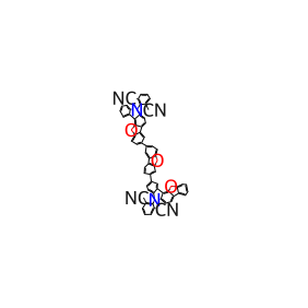 N#Cc1cccc(C#N)c1-n1c2ccccc2c2c3oc4ccc(-c5ccc6oc7cc(-c8ccc9c(c8)c8c%10oc%11ccccc%11c%10ccc8n9-c8c(C#N)cccc8C#N)ccc7c6c5)cc4c3ccc21